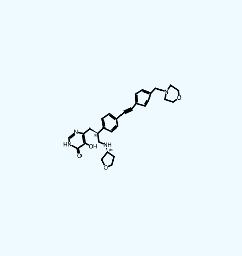 O=c1[nH]cnc(C[C@H](CN[C@@H]2CCOC2)c2ccc(C#Cc3ccc(CN4CCOCC4)cc3)cc2)c1O